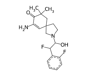 CC1(C)CC2(C=C(N)C1=O)CCN(C(O)C(F)c1ccccc1F)C2